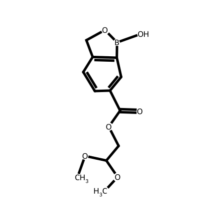 COC(COC(=O)c1ccc2c(c1)B(O)OC2)OC